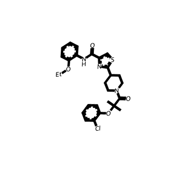 CCOc1ccccc1NC(=O)c1csc(C2CCN(C(=O)C(C)(C)Oc3ccccc3Cl)CC2)n1